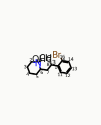 CN1CCCCC1CC(C=O)c1ccccc1Br